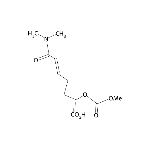 COC(=O)O[C@@H](CC/C=C/C(=O)N(C)C)C(=O)O